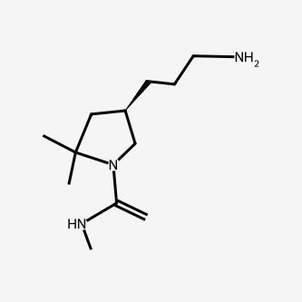 C=C(NC)N1C[C@H](CCCN)CC1(C)C